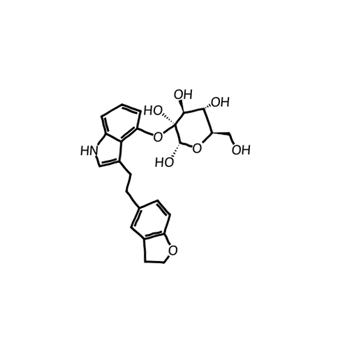 OC[C@H]1O[C@H](O)[C@@](O)(Oc2cccc3[nH]cc(CCc4ccc5c(c4)CCO5)c23)[C@@H](O)[C@@H]1O